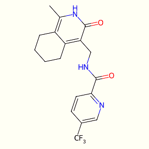 Cc1[nH]c(=O)c(CNC(=O)c2ccc(C(F)(F)F)cn2)c2c1CCCC2